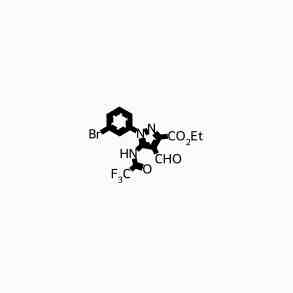 CCOC(=O)c1nn(-c2cccc(Br)c2)c(NC(=O)C(F)(F)F)c1C=O